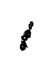 c1ccc2cc(-c3ccc4cc(-c5cnc6ccccc6n5)ccc4n3)ccc2c1